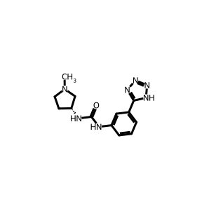 CN1CC[C@@H](NC(=O)Nc2cccc(-c3nnn[nH]3)c2)C1